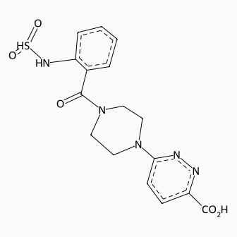 O=C(O)c1ccc(N2CCN(C(=O)c3ccccc3N[SH](=O)=O)CC2)nn1